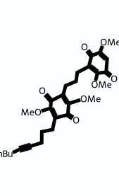 CCCCC#CCCCC1=C(OC)C(=O)C(CCCC2=C(OC)C(=O)C=C(OC)C2=O)=C(OC)C1=O